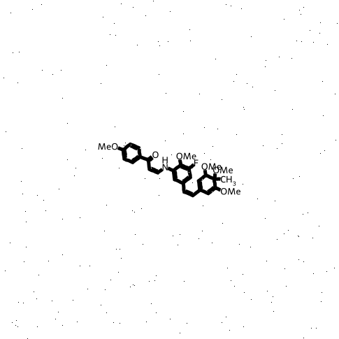 COC1=CC(/C=C\c2cc(F)c(OC)c(N/C=C\C(=O)c3ccc(OC)cc3)c2)=CC(OC)C1(C)OC